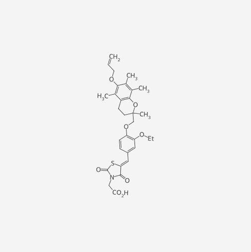 C=CCOc1c(C)c(C)c2c(c1C)CCC(C)(COc1ccc(/C=C3\SC(=O)N(CC(=O)O)C3=O)cc1OCC)O2